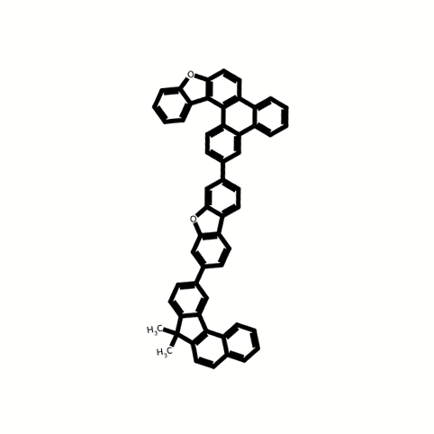 CC1(C)c2ccc(-c3ccc4c(c3)oc3cc(-c5ccc6c(c5)c5ccccc5c5ccc7oc8ccccc8c7c56)ccc34)cc2-c2c1ccc1ccccc21